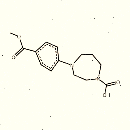 COC(=O)c1ccc(N2CCCN(C(=O)O)CC2)cc1